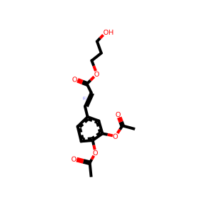 CC(=O)Oc1ccc(/C=C/C(=O)OCCCO)cc1OC(C)=O